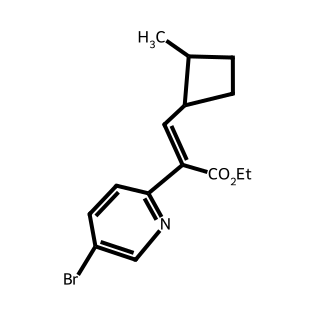 CCOC(=O)C(=CC1CCC1C)c1ccc(Br)cn1